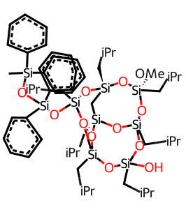 CO[Si@]1(CC(C)C)O[Si]2(CC(C)C)O[Si](O)(CC(C)C)O[Si]3(CC(C)C)O[Si](CC(C)C)(O[Si](O[Si](C)(c4ccccc4)c4ccccc4)(c4ccccc4)c4ccccc4)O[Si@@](CC(C)C)(C[Si@](CC(C)C)(O3)O2)O1